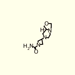 NC(=O)N1CC(N2CCN3CCOC[C@@H]3C2)C1